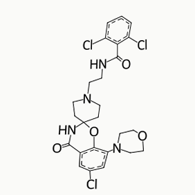 O=C1NC2(CCN(CCNC(=O)c3c(Cl)cccc3Cl)CC2)Oc2c1cc(Cl)cc2N1CCOCC1